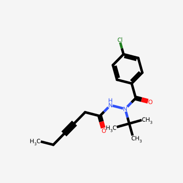 CCC#CCC(=O)NN(C(=O)c1ccc(Cl)cc1)C(C)(C)C